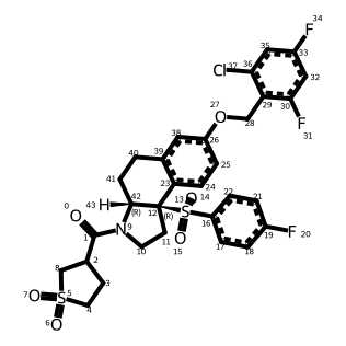 O=C(C1CCS(=O)(=O)C1)N1CC[C@@]2(S(=O)(=O)c3ccc(F)cc3)c3ccc(OCc4c(F)cc(F)cc4Cl)cc3CC[C@@H]12